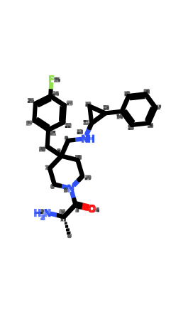 C[C@H](N)C(=O)N1CCC(CNC2CC2c2ccccc2)(Cc2ccc(F)cc2)CC1